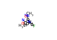 Cc1noc(-c2ccc(-n3nc(-c4ccc(F)cc4)c4c3[C@]3(C)C=C(C#N)C(=O)[C@H](C)[C@H]3CC4)cc2)n1